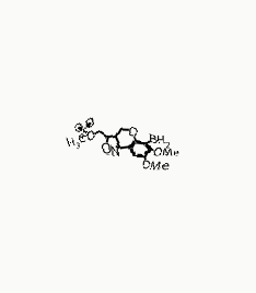 Bc1c(OC)c(OC)cc2c1OCC1C2=NOC1COS(C)(=O)=O